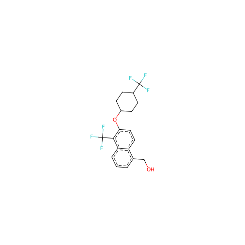 OCc1cccc2c(C(F)(F)F)c(OC3CCC(C(F)(F)F)CC3)ccc12